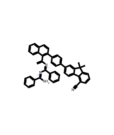 C=C(/N=C(\N=C(/N)c1ccccc1)c1ccccc1)c1c(-c2ccc(-c3ccc4c(c3)C(C)(C)c3cccc(C#N)c3-4)cc2)ccc2ccccc12